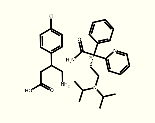 CC(C)N(CC[C@](C(N)=O)(c1ccccc1)c1ccccn1)C(C)C.NCC(CC(=O)O)c1ccc(Cl)cc1